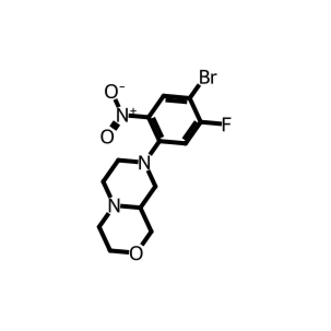 O=[N+]([O-])c1cc(Br)c(F)cc1N1CCN2CCOCC2C1